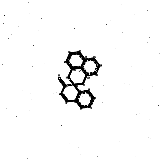 O=C1C=Cc2ccccc2C12Cc1cccc3cccc(c13)C2